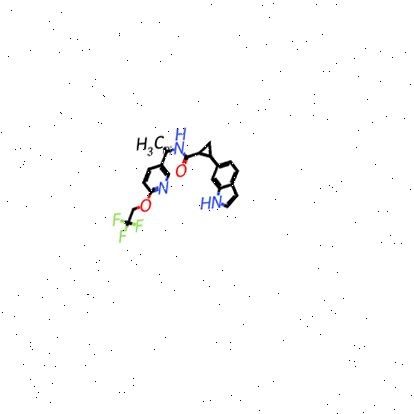 C[C@@H](NC(=O)C1CC1c1ccc2cc[nH]c2c1)c1ccc(OCC(F)(F)F)nc1